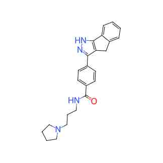 O=C(NCCCN1CCCC1)c1ccc(-c2n[nH]c3c2Cc2ccccc2-3)cc1